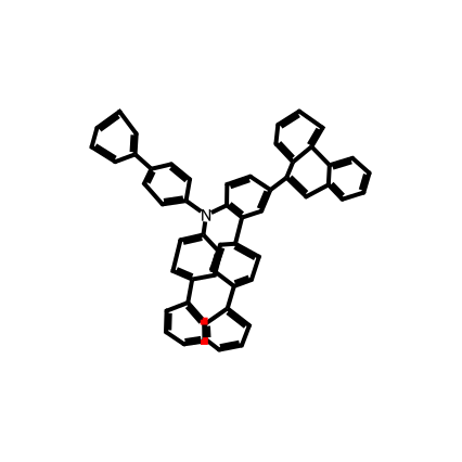 c1ccc(-c2ccc(-c3cc(-c4cc5ccccc5c5ccccc45)ccc3N(c3ccc(-c4ccccc4)cc3)c3ccc(-c4ccccc4)cc3)cc2)cc1